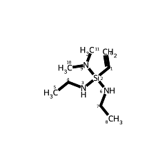 C=C[Si](NCC)(NCC)N(C)C